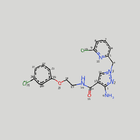 Nc1nn(Cc2cccc(Cl)n2)cc1C(=O)NCCOc1cccc(Cl)c1